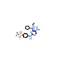 CCNN(c1nc(Nc2ccc(S(=O)(=O)N(C)C)cc2)ncc1NC)C1CCCC1